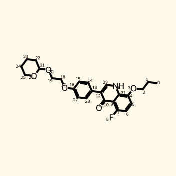 CCCOc1ccc(F)c2c(=O)c(-c3ccc(OCCOC4CCCCO4)cc3)c[nH]c12